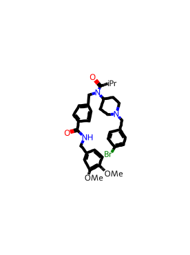 COc1ccc(CNC(=O)c2ccc(CN(C(=O)C(C)C)C3CCN(Cc4ccc(Br)cc4)CC3)cc2)cc1OC